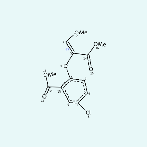 CO/C=C(/Oc1ccc(Cl)cc1C(=O)OC)C(=O)OC